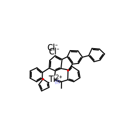 C/[C](c1ccccc1)=[Ti+2](\[C]1=CC=CC1)[c]1c(-c2ccccc2)ccc2c1Cc1cc(-c3ccccc3)ccc1-2.[Cl-].[Cl-]